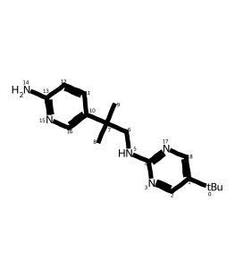 CC(C)(C)c1cnc(NCC(C)(C)c2ccc(N)nc2)nc1